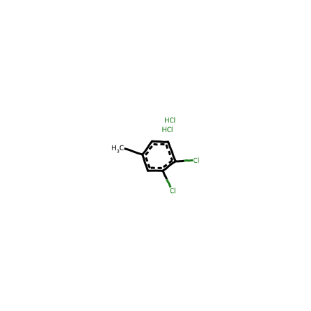 Cc1ccc(Cl)c(Cl)c1.Cl.Cl